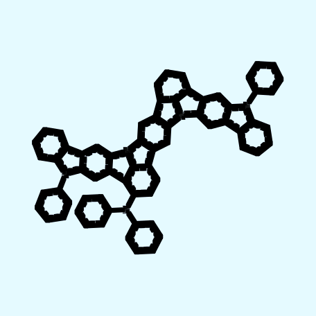 c1ccc(N(c2ccccc2)c2ccc3c4cc5c(cc4n4c6cc7c8ccccc8n(-c8ccccc8)c7cc6c2c34)c2cccc3c4cc6c(cc4n5c32)c2ccccc2n6-c2ccccc2)cc1